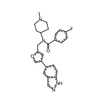 CN1CCC(N(Cc2cc(-c3ccc4[nH]ncc4c3)co2)C(=O)c2ccc(F)cc2)CC1